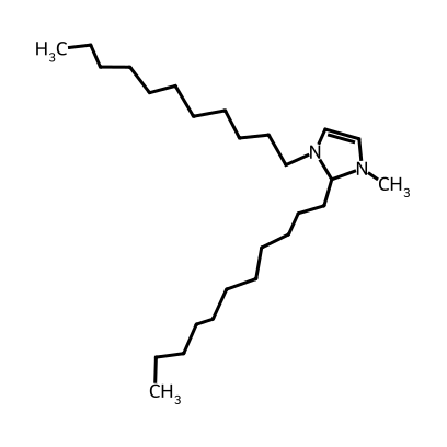 CCCCCCCCCCCC1N(C)C=CN1CCCCCCCCCCC